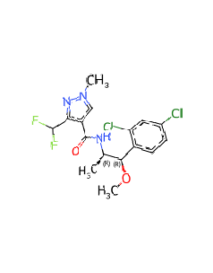 CO[C@H](c1ccc(Cl)cc1Cl)[C@@H](C)NC(=O)c1cn(C)nc1C(F)F